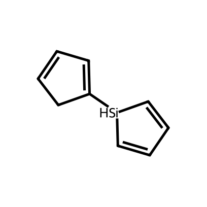 C1=CCC([SiH]2C=CC=C2)=C1